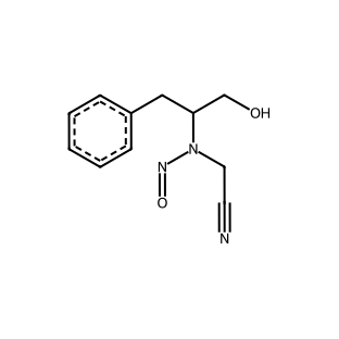 N#CCN(N=O)C(CO)Cc1ccccc1